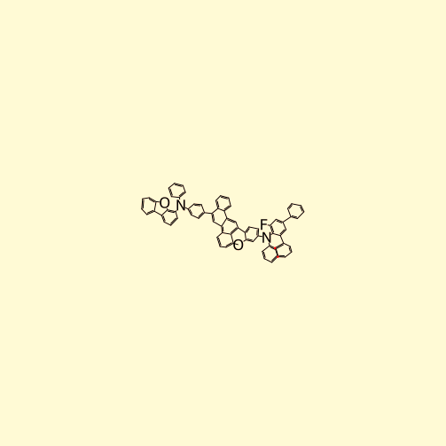 Fc1cc(-c2ccccc2)cc(-c2ccccc2)c1N(c1ccccc1)c1ccc2c(c1)Oc1cccc3c1c-2cc1c2ccccc2c(-c2ccc(N(c4ccccc4)c4cccc5c4oc4ccccc45)cc2)cc31